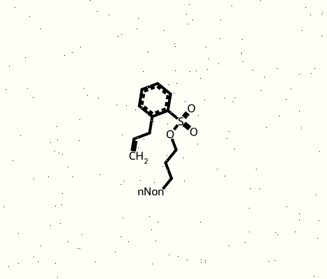 C=CCc1ccccc1S(=O)(=O)OCCCCCCCCCCCC